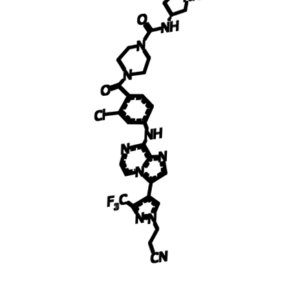 N#CCCn1cc(-c2cnc3c(Nc4ccc(C(=O)N5CCN(C(=O)N[C@@H]6CCNC6)CC5)c(Cl)c4)nccn23)c(C(F)(F)F)n1